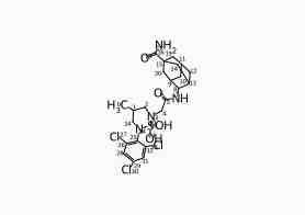 CC1CN(CC(=O)NC2C3CC4CC2CC(C(N)=O)(C4)C3)S(O)(O)N(c2c(Cl)cc(Cl)cc2Cl)C1